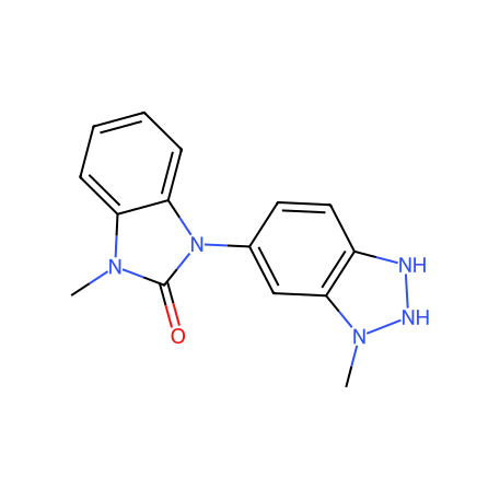 CN1NNc2ccc(-n3c(=O)n(C)c4ccccc43)cc21